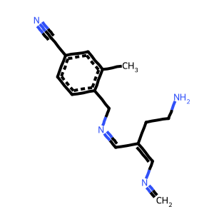 C=N/C=C(\C=N/Cc1ccc(C#N)cc1C)CCN